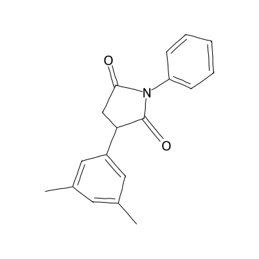 Cc1cc(C)cc(C2CC(=O)N(c3ccccc3)C2=O)c1